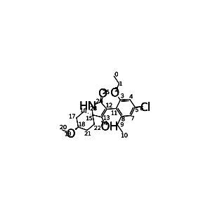 CCOc1cc(Cl)cc(CC)c1C1=C(O)[C@]2(CC[C@H](OC)CC2)NC1=O